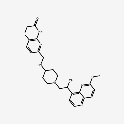 COc1ccc2nccc(C(O)CN3CCC(NCc4ccc5c(n4)NC(=O)CS5)CC3)c2n1